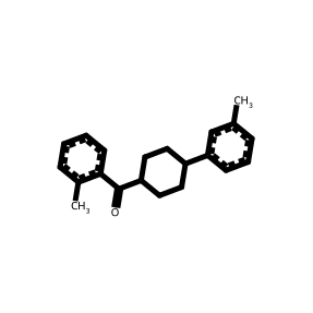 Cc1cccc(C2CCC(C(=O)c3ccccc3C)CC2)c1